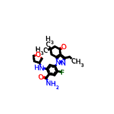 CCc1nn(-c2cc(NC3CCOC3)c(C(N)=O)cc2F)c2c1C(=O)CC(C)(C)C2